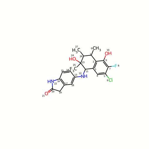 CC1c2c(cc(Cl)c(F)c2O)C(Nc2ccc3c(c2)CC(=O)N3)C(O)(C(F)(F)F)C1C